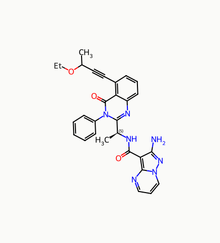 CCOC(C)C#Cc1cccc2nc([C@H](C)NC(=O)c3c(N)nn4cccnc34)n(-c3ccccc3)c(=O)c12